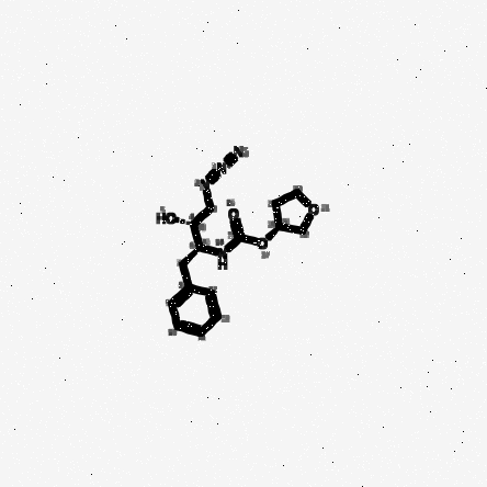 [N-]=[N+]=NC[C@@H](O)[C@H](Cc1ccccc1)NC(=O)O[C@H]1CCOC1